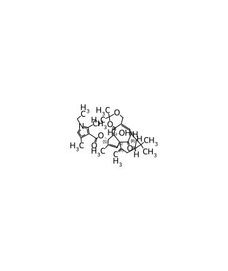 CCn1cc(C)c(C(=O)O[C@H]2C(C)=C[C@]34C(=O)[C@@H](C=C5COC(C)(C)O[C@H]5[C@]23O)[C@H]2[C@@H](C[C@H]4C)C2(C)C)c1C